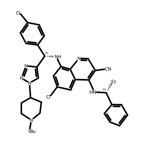 CC[C@@H](Nc1c(C#N)cnc2c(N[C@@H](c3ccc(Cl)cc3)c3cn(C4CCN(C(C)(C)C)CC4)nn3)cc(Cl)cc12)c1ccccc1